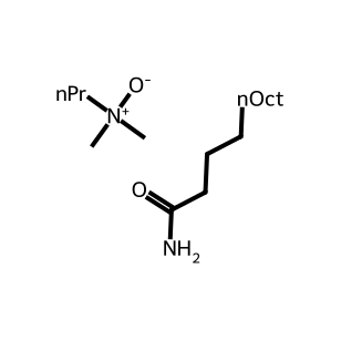 CCCCCCCCCCCC(N)=O.CCC[N+](C)(C)[O-]